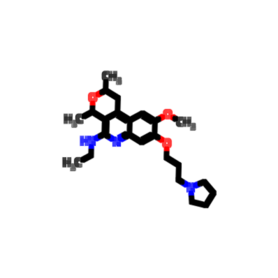 CCNc1nc2cc(OCCCN3CCCC3)c(OC)cc2c2c1C(C)OC(C)C2